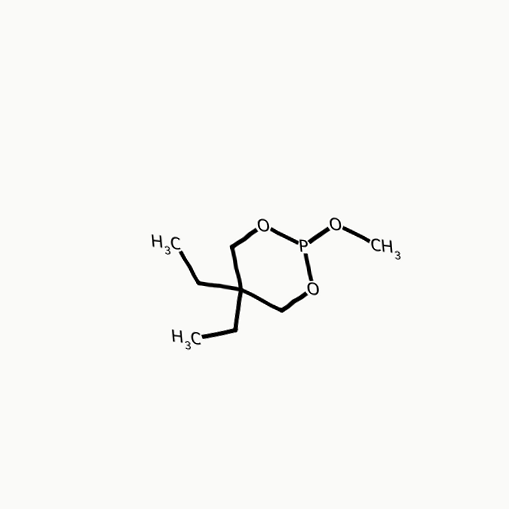 CCC1(CC)COP(OC)OC1